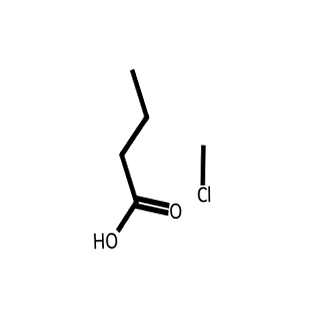 CCCC(=O)O.CCl